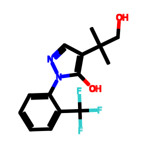 CC(C)(CO)c1cnn(-c2ccccc2C(F)(F)F)c1O